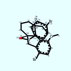 COc1ccc(Br)c2c1C13c4c(OC)ccc(Br)c4C[C@@H]1CCC[C@H]3C2